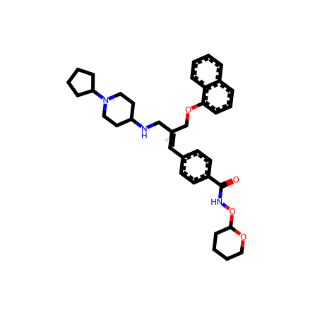 O=C(NOC1CCCCO1)c1ccc(/C=C(/CNC2CCN(C3CCCC3)CC2)COc2cccc3ccccc23)cc1